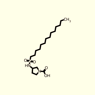 CCCCCCCCCCCCCCS(=O)(=O)NC1CCN(C(=O)O)C1